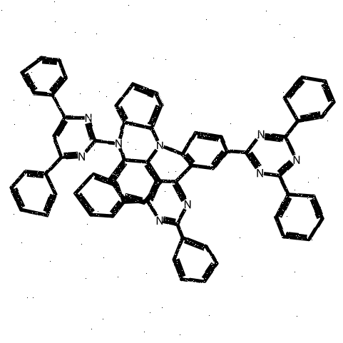 c1ccc(-c2cc(-c3cc(-c4nc(-c5ccccc5)nc(-c5ccccc5)n4)ccc3N3c4ccccc4N(c4nc(-c5ccccc5)cc(-c5ccccc5)n4)c4ccccc43)nc(-c3ccccc3)n2)cc1